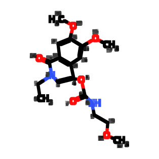 CCn1cc(OC(=O)NCCOC)c2cc(OC)c(OC)cc2c1=O